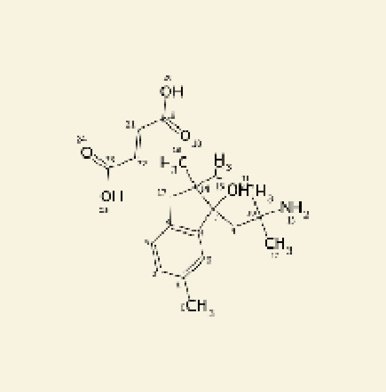 Cc1ccc2c(c1)C(O)(CC(C)(C)N)C(C)(C)C2.O=C(O)C=CC(=O)O